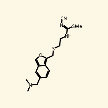 CSC(=NC#N)NCCSCc1occ2cc(CN(C)C)ccc12